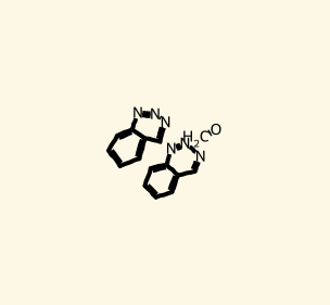 C=O.c1ccc2nnncc2c1.c1ccc2nnncc2c1